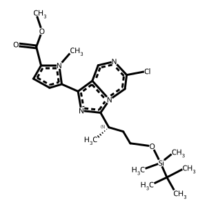 COC(=O)c1ccc(-c2nc([C@@H](C)CCO[Si](C)(C)C(C)(C)C)n3cc(Cl)ncc23)n1C